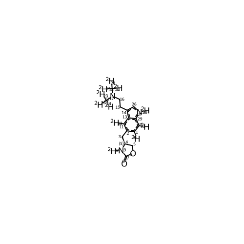 [2H]c1c(C[C@H]2COC(=O)N2[2H])c([2H])c2c(CCN(C([2H])([2H])[2H])C([2H])([2H])[2H])cn([2H])c2c1[2H]